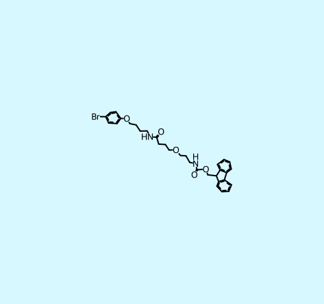 O=C(CCCOCCCNC(=O)OCC1c2ccccc2-c2ccccc21)NCCCCOc1ccc(Br)cc1